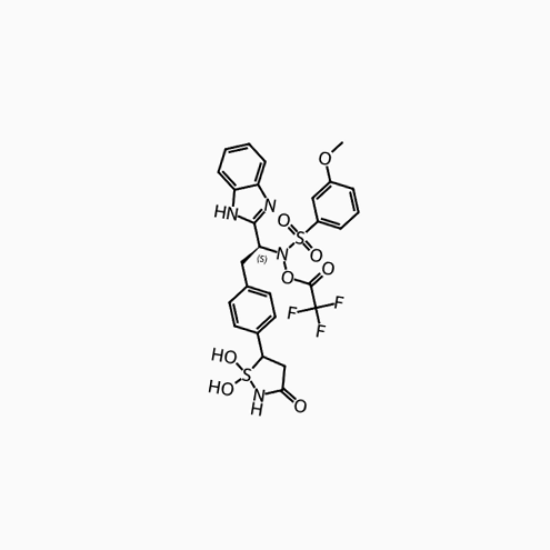 COc1cccc(S(=O)(=O)N(OC(=O)C(F)(F)F)[C@@H](Cc2ccc(C3CC(=O)NS3(O)O)cc2)c2nc3ccccc3[nH]2)c1